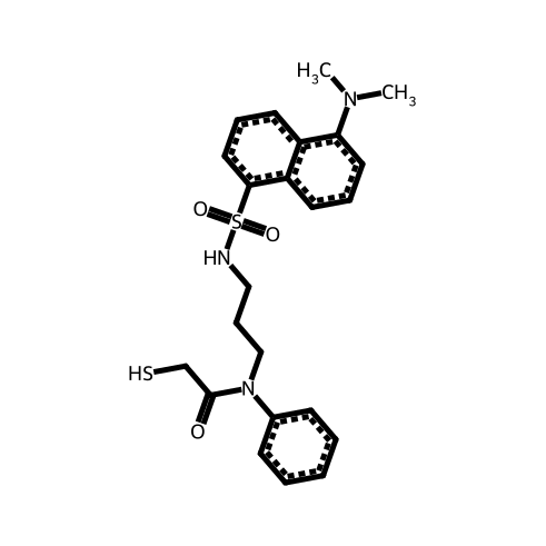 CN(C)c1cccc2c(S(=O)(=O)NCCCN(C(=O)CS)c3ccccc3)cccc12